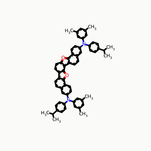 Cc1cc(C)cc(N(c2ccc(C(C)C)cc2)c2ccc3c(ccc4c5ccc6oc7c8ccc(N(c9ccc(C(C)C)cc9)c9cc(C)cc(C)c9)cc8ccc7c6c5oc34)c2)c1